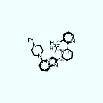 CCN1CCN(c2cccc3nc([C@H]4CCC[C@@H](c5ncccc5C)N4C)cn23)CC1